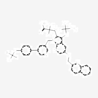 CC(C)(C)Sc1c(CC(C)(C)C(=O)O)n(Cc2cncc(-c3ccc(OC(F)(F)F)cc3)c2)c2ncc(OCc3ccc4ccccc4n3)cc12